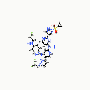 O=S(=O)(C1CC1)n1cc(-c2nccc(Nc3cc(NC4CCC(NCCF)CC4)c(-c4ccn(CC(F)F)n4)cn3)n2)cn1